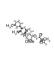 COc1ccc2c(c1OCC(=O)N(C)C)CCN1C[C@H](c3cccc(C)c3)[C@@H](N)C[C@@H]21